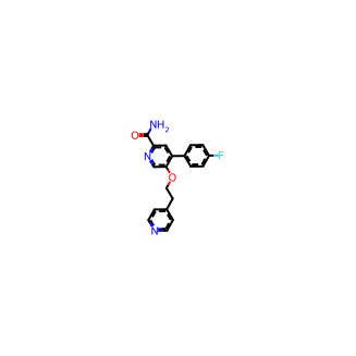 NC(=O)c1cc(-c2ccc(F)cc2)c(OCCc2ccncc2)cn1